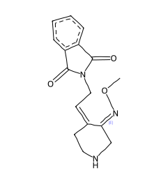 CO/N=C1/CNCCC1=CCN1C(=O)c2ccccc2C1=O